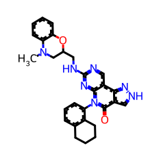 CN1CC(CNc2ncc3c4n[nH]cc4c(=O)n(-c4cccc5c4CCCC5)c3n2)Oc2ccccc21